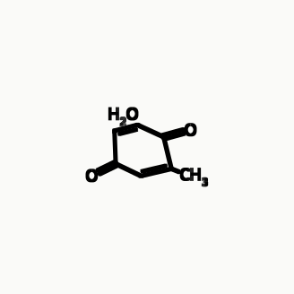 CC1=CC(=O)C=CC1=O.O